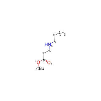 CC(C)(C)OC(=O)CCNCCC(F)(F)F